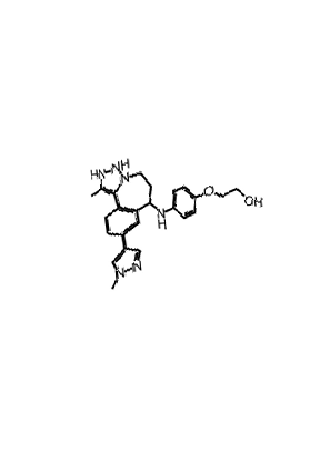 CC1=C2c3ccc(-c4cnn(C)c4)cc3C(Nc3ccc(OCCO)cc3)CCN2NN1